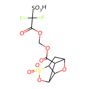 O=C(OCOC(=O)C(F)(F)S(=O)(=O)O)C1C2CC3C(O2)C1OS3(=O)=O